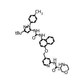 Cc1ccc(-n2nc(C(C)(C)C)cc2NC(=O)Nc2ccc(OCc3ccnc(NC(=O)[C@@H]4COCCN4)c3)c3ccccc23)cc1